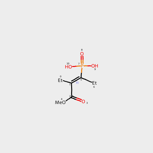 CC/C(C(=O)OC)=C(/CC)P(=O)(O)O